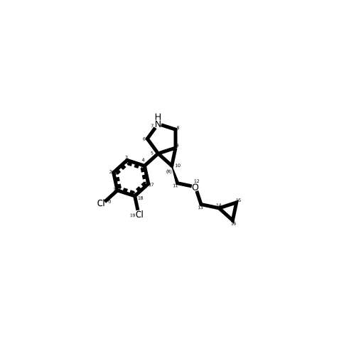 Clc1ccc(C23CNCC2[C@H]3COCC2CC2)cc1Cl